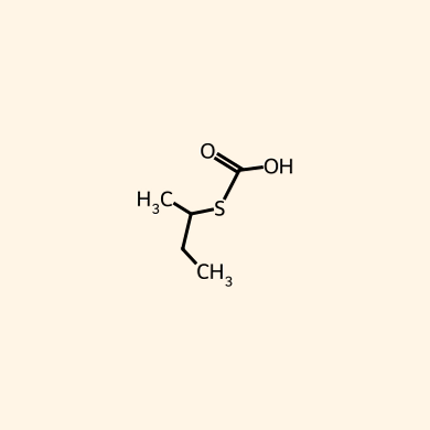 CCC(C)SC(=O)O